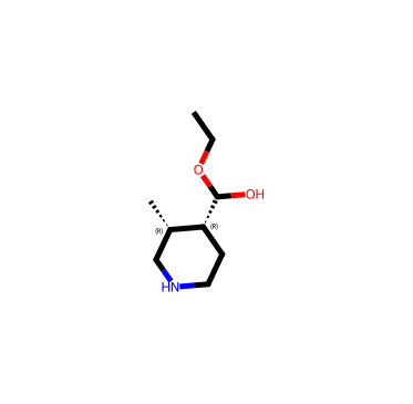 CCOC(O)[C@@H]1CCNC[C@@H]1C